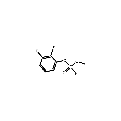 COP(=O)(F)Oc1cccc(F)c1F